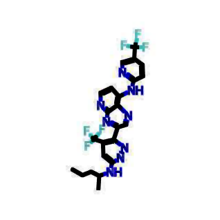 CCCC(C)Nc1cc(C(F)(F)F)c(-c2cnc3c(Nc4ccc(C(F)(F)F)cn4)ccnc3n2)nn1